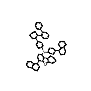 c1ccc(-c2ccccc2-c2ccccc2-c2ccc(N(c3ccc(-c4cccc5ccccc45)cc3)c3ccc(-c4cccc5ccccc45)c4oc5ccccc5c34)cc2)cc1